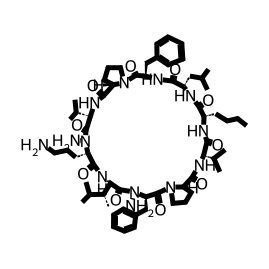 CCCC[C@@H]1NC(=O)[C@H](C(C)C)NC(=O)[C@@H]2CCCN2C(=O)[C@@H](Cc2ccccc2)N(N)C(=O)[C@H]([C@H](C)C(C)C)NC(=O)[C@H](CCCN)N(N)C(=O)[C@H](C(C)C)NC(=O)[C@@H]2CCCN2C(=O)[C@@H](Cc2ccccc2)NC(=O)[C@H](CC(C)C)NC1=O